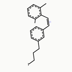 Cc1cccc(C)c1/C=C\c1cccc(CCCI)c1